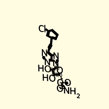 NS(=O)(=O)OC[C@H]1O[C@@H](n2cnc3c(C#Cc4cccc(Cl)c4)ncnc32)[C@H](O)[C@@H]1O